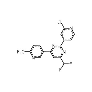 FC(F)c1cc(-c2ccc(C(F)(F)F)nc2)nc(-c2ccnc(Cl)c2)n1